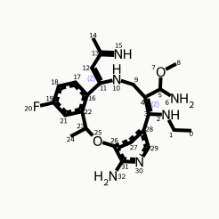 CCN/C1=C(\C(N)OC)CN/C(=C\C(C)=N)c2ccc(F)cc2C(C)Oc2cc1cnc2N